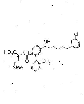 CSCC[C@H](NC(=O)c1ccc(C(O)CCCCCc2cccc(Cl)c2)cc1-c1ccccc1C)C(=O)O